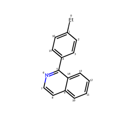 CCc1ccc(-c2nccc3ccccc23)cc1